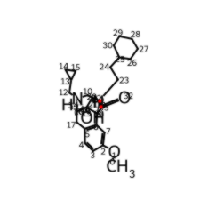 COc1ccc2c(c1)[C@]13CCN(CC4CC4)[C@H](C2)[C@]1(O)CCN(CCC1CCCCC1)C(=O)C3